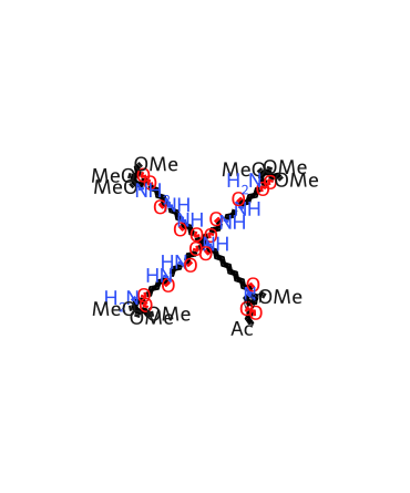 COCC1OC(OCCCCC(=O)NCCCNC(=O)CCOCC(COCCC(=O)NCCCNC(=O)CCCCOC2OC(COC)C(OC)C(OC)C2N)(COCCC(=O)NCCCNC(=O)CCCCOC2OC(COC)C(OC)C(OC)C2N)NC(=O)CCCCCCCCCCC(=O)N2C[C@H](OC(=O)CCC(C)=O)C[C@H]2COC)C(N)C(OC)C1OC